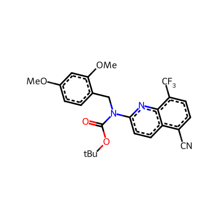 COc1ccc(CN(C(=O)OC(C)(C)C)c2ccc3c(C#N)ccc(C(F)(F)F)c3n2)c(OC)c1